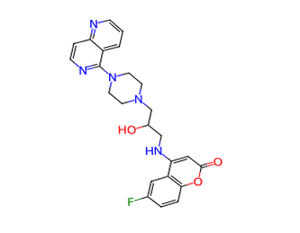 O=c1cc(NCC(O)CN2CCN(c3nccc4ncccc34)CC2)c2cc(F)ccc2o1